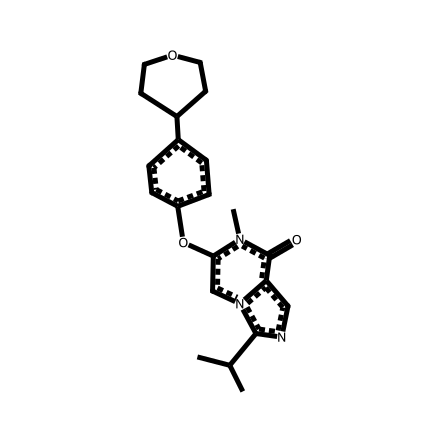 CC(C)c1ncc2c(=O)n(C)c(Oc3ccc(C4CCOCC4)cc3)cn12